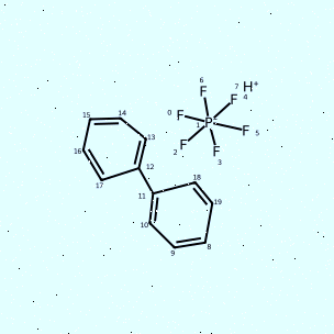 F[P-](F)(F)(F)(F)F.[H+].c1ccc(-c2ccccc2)cc1